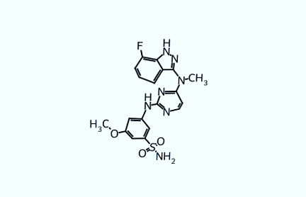 COc1cc(Nc2nccc(N(C)c3n[nH]c4c(F)cccc34)n2)cc(S(N)(=O)=O)c1